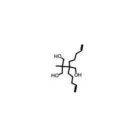 C=CCCCC(CO)(CCCC=C)C(C)(CO)CO